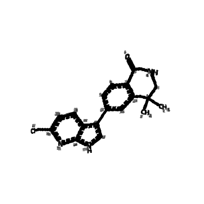 CC1(C)CNC(=O)c2ccc(-c3c[nH]c4nc(Cl)ccc34)cc21